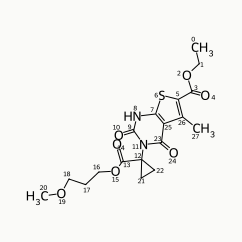 CCOC(=O)c1sc2[nH]c(=O)n(C3(C(=O)OCCCOC)CC3)c(=O)c2c1C